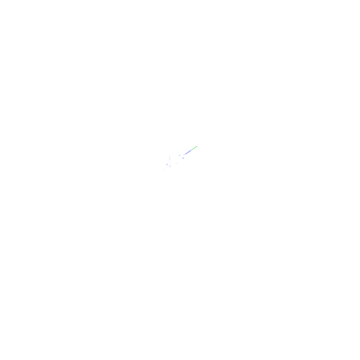 N.NCl.[Cu]